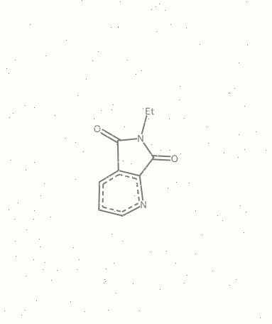 CCN1C(=O)c2cccnc2C1=O